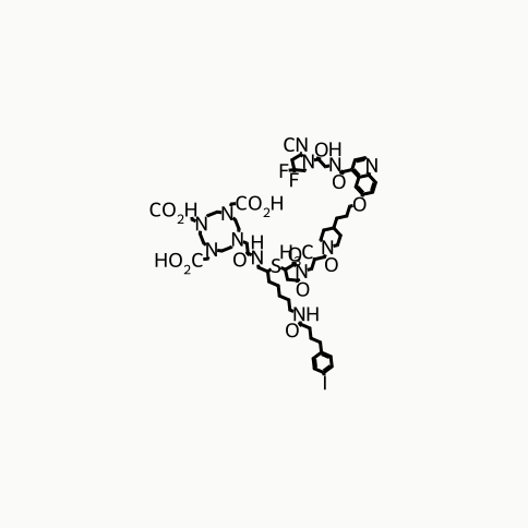 C[C@H](CN1C(=O)CC(SC(CCCCCNC(=O)CCCc2ccc(I)cc2)CNC(=O)CN2CCN(CC(=O)O)CCN(CC(=O)O)CCN(CC(=O)O)CC2)C1=O)C(=O)N1CCC(CCCOc2ccc3nccc(C(=O)NCC(=O)N4CC(F)(F)C[C@@H]4C#N)c3c2)CC1